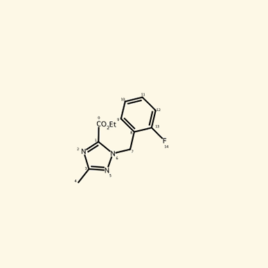 CCOC(=O)c1nc(C)nn1Cc1ccccc1F